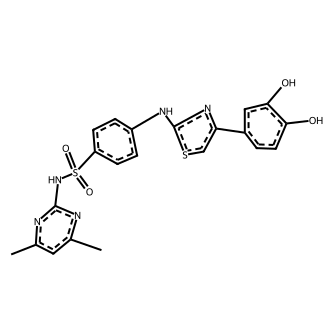 Cc1cc(C)nc(NS(=O)(=O)c2ccc(Nc3nc(-c4ccc(O)c(O)c4)cs3)cc2)n1